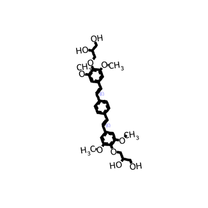 COc1cc(/C=C/c2ccc(/C=C/c3cc(OC)c(OCC(O)CO)c(OC)c3)cc2)cc(OC)c1OCC(O)CO